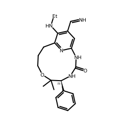 CCNc1c(C=N)cc2nc1CCCOC(C)(C)[C@H](c1ccccc1)NC(=O)N2